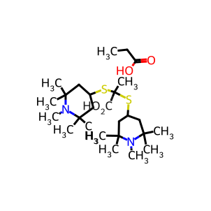 CCC(=O)O.CN1C(C)(C)CC(SC(C)(SC2CC(C)(C)N(C)C(C)(C)C2)C(=O)O)CC1(C)C